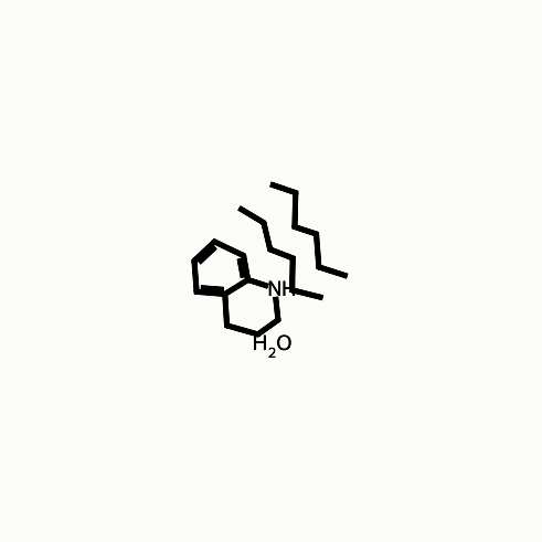 CCCCCC.CCCCCC.O.c1ccc2c(c1)CCCN2